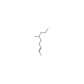 [CH2]CCC(C)CCC=CC